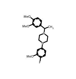 COc1cc(N2CCN(C(C)c3ccc(OC)c(OC)c3)CC2)ccc1F